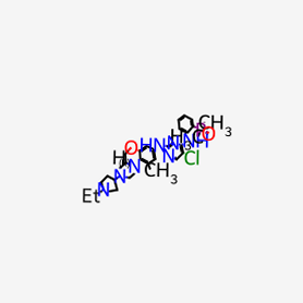 CCN1CCC(N2CCN3c4c(C)cc(Nc5ncc(Cl)c(Nc6ccccc6P(C)(C)=O)n5)cc4OC[C@H]3C2)CC1